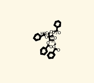 C=C(C)[C@]1(OC(=O)c2ccccc2)[C@@H](OC(=O)c2ccccc2)O[C@H](COC(=O)c2ccccc2)[C@H]1OC(=O)c1ccccc1